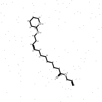 C=CCOC(=O)CCCCCCC/C=C\CCOC1CCCCO1